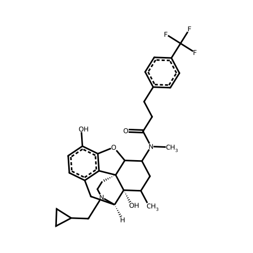 CC1CC(N(C)C(=O)CCc2ccc(C(F)(F)F)cc2)C2Oc3c(O)ccc4c3[C@@]23CCN(CC2CC2)[C@H](C4)[C@]13O